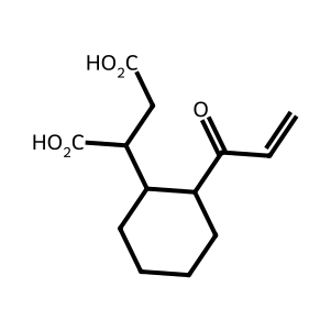 C=CC(=O)C1CCCCC1C(CC(=O)O)C(=O)O